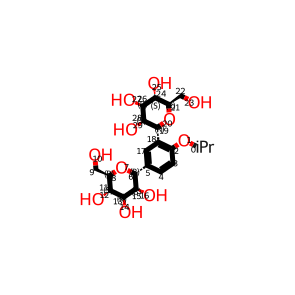 CC(C)Oc1ccc([C@H]2O[C@H](CO)[C@@H](O)[C@H](O)[C@@H]2O)cc1[C@H]1O[C@H](CO)[C@@H](O)[C@H](O)[C@@H]1O